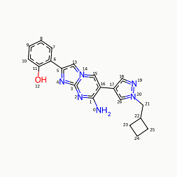 Nc1nc2nc(-c3ccccc3O)cn2cc1-c1cnn(CC2CCC2)c1